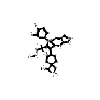 CCC1(C(=O)O)CCC(c2c(C(C)(C)COC)n(-c3ccc(F)c(C)c3)c3cc4cn[nH]c4nc23)CC1